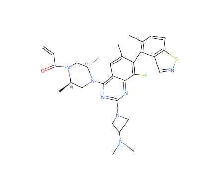 C=CC(=O)N1C[C@H](C)N(c2nc(N3CC(N(C)C)C3)nc3c(F)c(-c4c(C)ccc5sncc45)c(C)cc23)C[C@H]1C